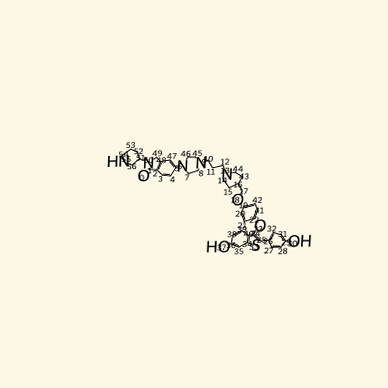 O=C1c2ccc(N3CCN(CCCN4CCC(COc5ccc(Oc6c(-c7ccc(O)cc7)sc7cc(O)ccc67)cc5)CC4)CC3)cc2CN1C1CCCNC1